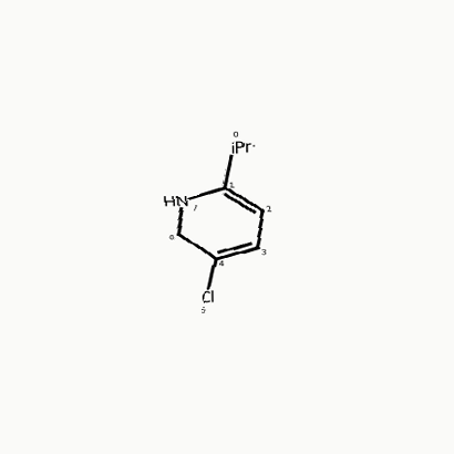 C[C](C)C1=CC=C(Cl)CN1